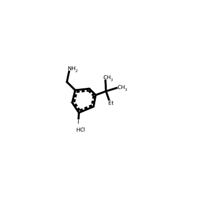 CCC(C)(C)c1cc(I)[c]c(CN)c1.Cl